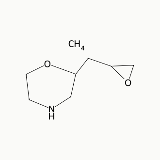 C.C1COC(CC2CO2)CN1